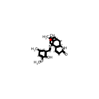 C/C=C1\C2C=C(C)CC1(/N=C/c1cc(C)cc(OC)c1O)c1ccc(=O)[nH]c1C2